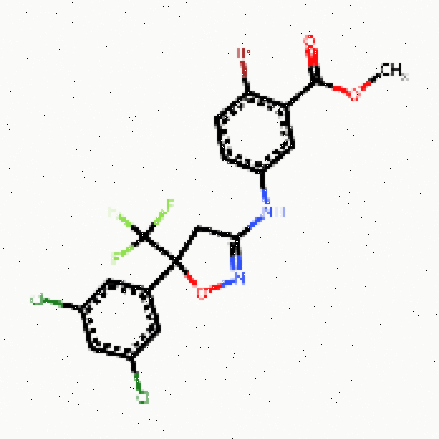 COC(=O)c1cc(NC2=NOC(c3cc(Cl)cc(Cl)c3)(C(F)(F)F)C2)ccc1Br